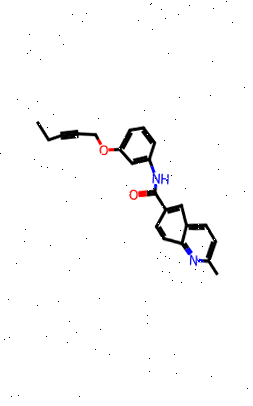 CCC#CCOc1cccc(NC(=O)c2ccc3nc(C)ccc3c2)c1